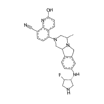 CC1CN(c2ccc(C#N)c3nc(O)ccc23)CC2c3ccc(NC4CNCC4F)cc3CN12